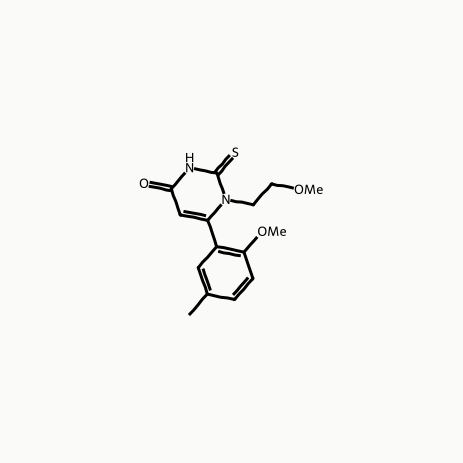 COCCn1c(-c2cc(C)ccc2OC)cc(=O)[nH]c1=S